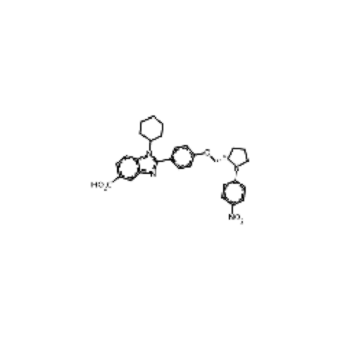 O=C(O)c1ccc2c(c1)nc(-c1ccc(OC[C@@H]3CCCN3c3ccc([N+](=O)[O-])cc3)cc1)n2C1CCCCC1